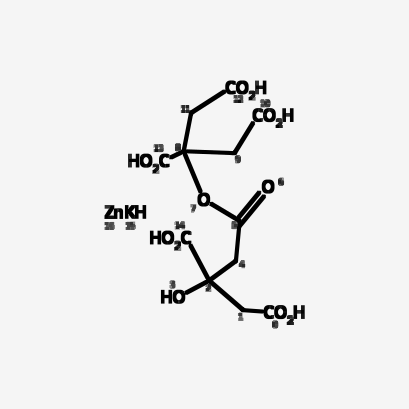 O=C(O)CC(O)(CC(=O)OC(CC(=O)O)(CC(=O)O)C(=O)O)C(=O)O.[KH].[Zn]